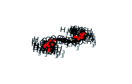 CCC(OC(=O)OC1CC(C)(C)N(C)C(C)C1C)C(OC(=O)OC1CC(C)(C)N(C)C(C)C1C)(OC(=O)OC1CC(C)(C)N(C)C(C)C1C)C(=O)OCC(C)(C)C1OCC2(CO1)COC(C(C)(C)COC(=O)C(OC(=O)OC1CC(C)(C)N(C)C(C)C1C)(OC(=O)OC1CC(C)(C)N(C)C(C)C1C)C(CC)OC(=O)OC1CC(C)(C)N(C)C(C)C1C)OC2